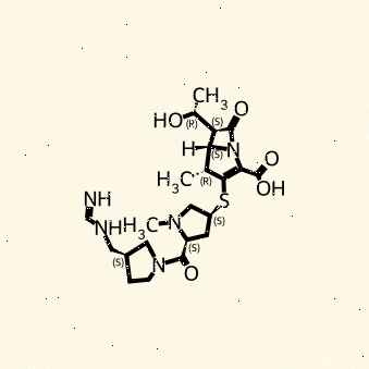 C[C@@H](O)[C@H]1C(=O)N2C(C(=O)O)=C(S[C@H]3C[C@@H](C(=O)N4CC[C@@H](CNC=N)C4)N(C)C3)[C@H](C)[C@H]12